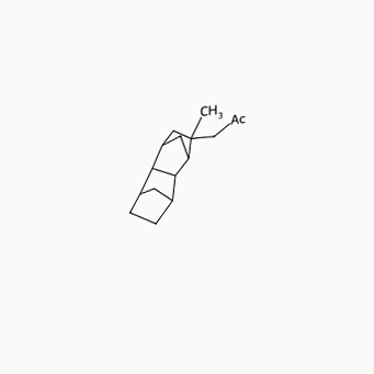 CC(=O)CC1(C)CC2CC1C1C3CCC(C3)C21